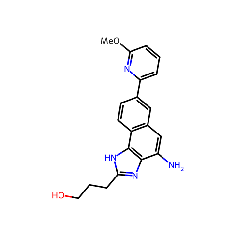 COc1cccc(-c2ccc3c(c2)cc(N)c2nc(CCCO)[nH]c23)n1